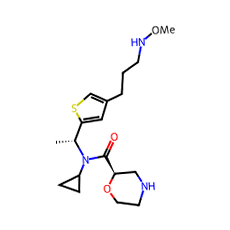 CONCCCc1csc([C@@H](C)N(C(=O)[C@H]2CNCCO2)C2CC2)c1